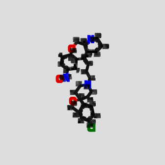 O=Nc1ccc2c(c1)C(=CCCN1CCC3(CC1)OCc1cc(Cl)ccc13)c1cccnc1CO2